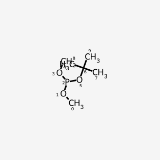 COP(OC)OC(C)(C)C